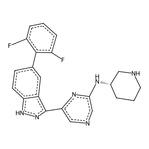 Fc1cccc(F)c1-c1ccc2[nH]nc(-c3cncc(N[C@H]4CCCNC4)n3)c2c1